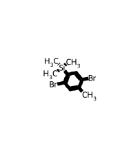 Cc1cc(Br)c([Si](C)(C)C)cc1Br